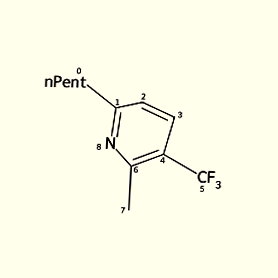 CCCCCc1ccc(C(F)(F)F)c(C)n1